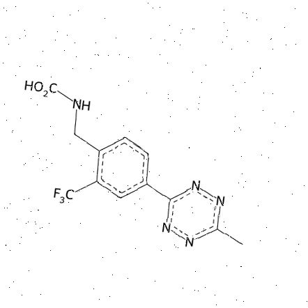 Cc1nnc(-c2ccc(CNC(=O)O)c(C(F)(F)F)c2)nn1